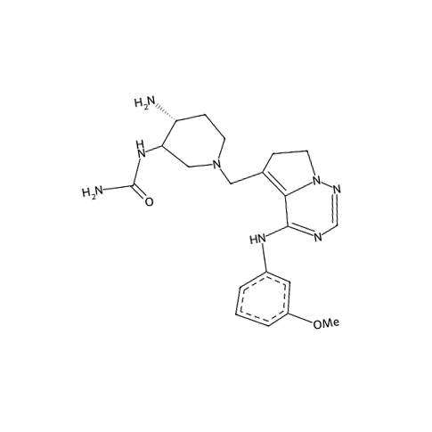 COc1cccc(NC2=NC=NN3CCC(CN4CC[C@@H](N)C(NC(N)=O)C4)=C23)c1